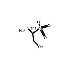 CCCCCC(CO)S(=O)(=O)[O-].[Na+]